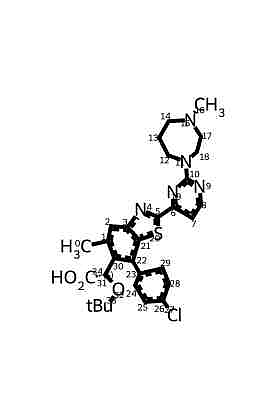 Cc1cc2nc(-c3ccnc(N4CCCN(C)CC4)n3)sc2c(-c2ccc(Cl)cc2)c1[C@H](OC(C)(C)C)C(=O)O